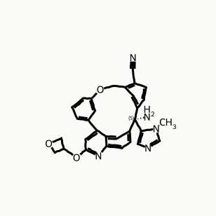 Cn1cncc1[C@]1(N)c2ccc(C#N)c(c2)COc2cccc(c2)-c2cc(OC3COC3)nc3ccc1cc23